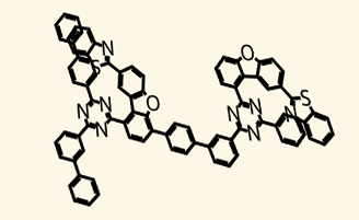 c1ccc(-c2ccc(-c3nc(-c4cccc(-c5ccccc5)c4)nc(-c4ccc(-c5ccc(-c6cccc(-c7nc(-c8ccccc8)nc(-c8cccc9oc%10ccc(-c%11nc%12ccccc%12s%11)cc%10c89)n7)c6)cc5)c5oc6ccc(-c7nc8ccccc8s7)cc6c45)n3)cc2)cc1